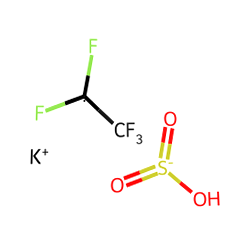 F[C](F)C(F)(F)F.O=[S-](=O)O.[K+]